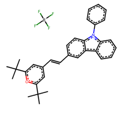 CC(C)(C)c1cc(C=Cc2ccc3c(c2)c2ccccc2n3-c2ccccc2)cc(C(C)(C)C)[o+]1.F[B-](F)(F)F